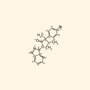 CC(C)C(C)(C(=O)On1nnc2cccnc21)c1ccc(Br)cc1